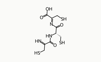 N=C(CS)C(=O)N[C@@H](CS)C(=O)/N=C(\CS)C(=O)O